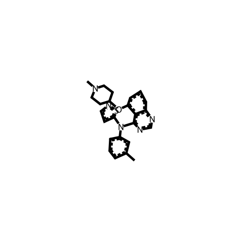 Cc1cccc(N(c2ccns2)c2ncnc3cccc(OC4CCN(C)CC4)c23)c1